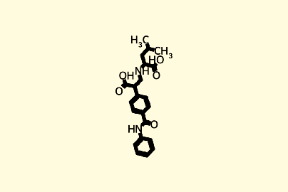 CC(C)CC(NCC(C(=O)O)c1ccc(C(=O)Nc2ccccc2)cc1)C(=O)O